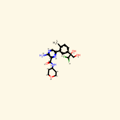 Cc1ccc([C@](O)(CO)C(F)F)cc1-c1cnc(N)c(C(=O)NC2CCOCC2)n1